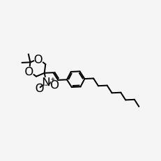 CCCCCCCCc1ccc(C=CC2([N+](=O)[O-])COC(C)(C)OC2)cc1